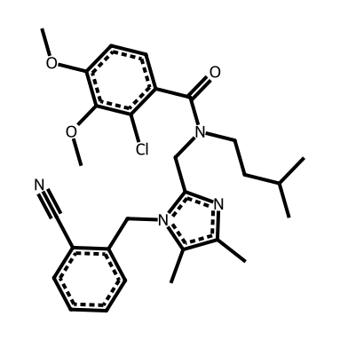 COc1ccc(C(=O)N(CCC(C)C)Cc2nc(C)c(C)n2Cc2ccccc2C#N)c(Cl)c1OC